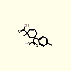 CC1(C(=O)O)C=CCC(C(=O)O)(c2ccc(F)cc2)C1